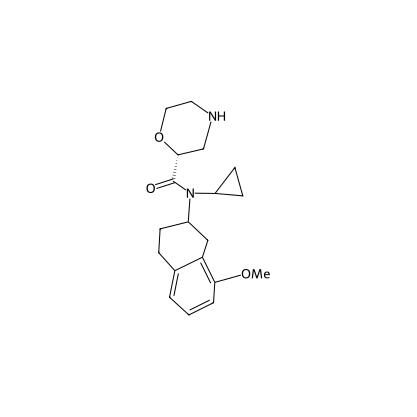 COc1cccc2c1CC(N(C(=O)[C@H]1CNCCO1)C1CC1)CC2